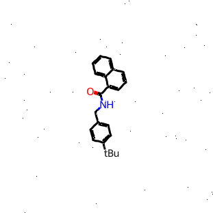 CC(C)(C)c1ccc(CNC(=O)c2cccc3ccccc23)cc1